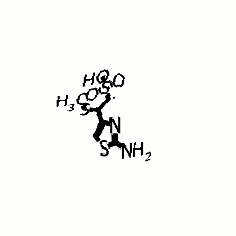 CSC([CH]S(=O)(=O)O)c1csc(N)n1